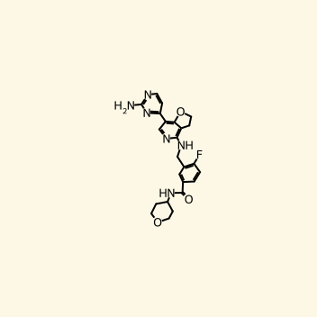 Nc1nccc(-c2cnc(NCc3cc(C(=O)NC4CCOCC4)ccc3F)c3c2OCC3)n1